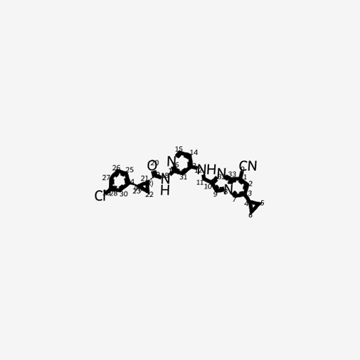 N#Cc1cc(C2CC2)cn2cc(CNc3ccnc(NC(=O)[C@@H]4C[C@H]4c4cccc(Cl)c4)c3)nc12